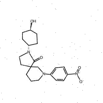 O=C1N([C@H]2CC[C@H](O)CC2)CCC12CCCN(c1ccc([N+](=O)[O-])cc1)C2